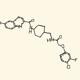 O=C(COc1ccc(Cl)c(F)c1)NCC1CCC(NC(=O)c2ccc3cc(Cl)ccc3n2)CC1